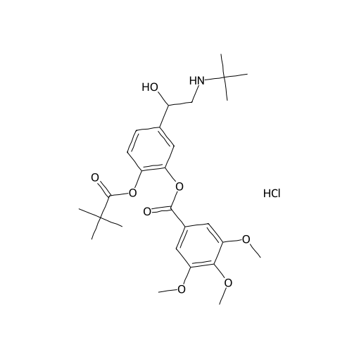 COc1cc(C(=O)Oc2cc(C(O)CNC(C)(C)C)ccc2OC(=O)C(C)(C)C)cc(OC)c1OC.Cl